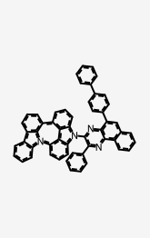 c1ccc(-c2ccc(-c3cc4ccccc4c4nc(-c5ccccc5)c(-n5c6cccc7c8cccc9c%10ccccc%10n(c%10cccc5c%10c76)c89)nc34)cc2)cc1